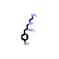 NCCNC[C@@H](N)Cc1ccc(N=O)cc1